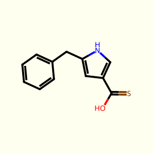 OC(=S)c1c[nH]c(Cc2ccccc2)c1